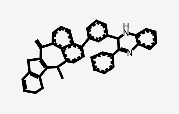 C=C1C2=C(C3=C(C=CCC3)C2)C(C)c2ccc(-c3cccc(C4Nc5ccccc5N=C4c4ccccc4)c3)c3cccc1c23